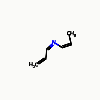 C=C/C=N\C=C/C